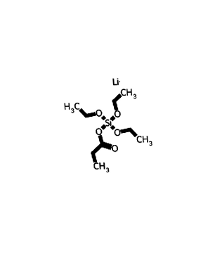 CCO[Si](OCC)(OCC)OC(=O)CC.[Li]